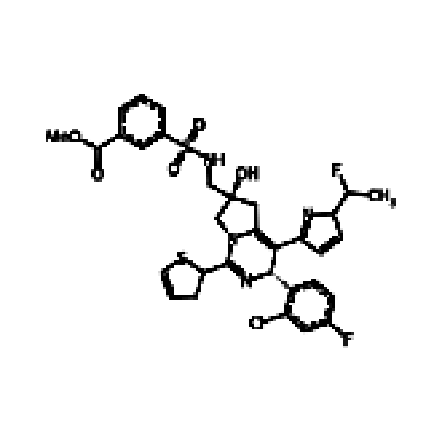 COC(=O)c1cccc(S(=O)(=O)NC[C@]2(O)CC3=C(C4=NC(C(C)F)C=C4)[C@H](c4ccc(F)cc4Cl)N=C(C4CC=CS4)N3C2)c1